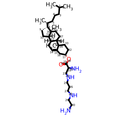 CC(C)CCC[C@@H](C)[C@H]1CC[C@H]2[C@@H]3CC=C4C[C@@H](OC(=O)C(N)CNCCCNCCN)CC[C@]4(C)[C@H]3CC[C@]12C